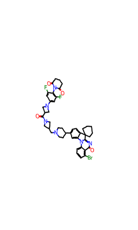 O=C(C1CN(c2cc(F)c(N3C(=O)CCCC3=O)c(F)c2)C1)N1CC(CN2CCC(c3ccc4c(c3)-n3c(nc(=O)c5c(Br)cccc53)C43CCCCC3)CC2)C1